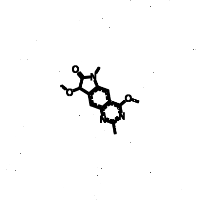 COc1nc(C)nc2cc3c(cc12)N(C)C(=O)C3OC